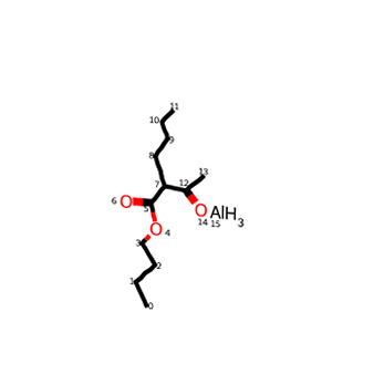 CCCCOC(=O)C(CCCC)C(C)=O.[AlH3]